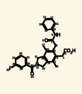 Cc1c(CC(=O)O)c(CC(=O)Nc2ccccc2)c(C)c2c1CN(C(=O)c1cccc(F)c1)C2